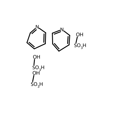 O=S(=O)(O)O.O=S(=O)(O)O.O=S(=O)(O)O.c1ccncc1.c1ccncc1